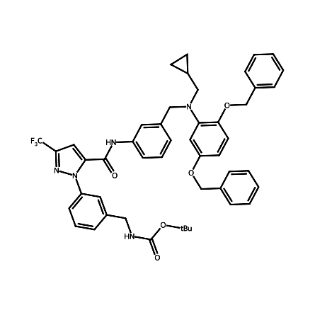 CC(C)(C)OC(=O)NCc1cccc(-n2nc(C(F)(F)F)cc2C(=O)Nc2cccc(CN(CC3CC3)c3cc(OCc4ccccc4)ccc3OCc3ccccc3)c2)c1